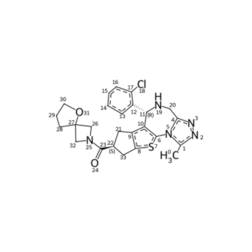 Cc1nnc2n1-c1sc3c(c1[C@H](c1ccccc1Cl)NC2)C[C@H](C(=O)N1CC2(CCCO2)C1)C3